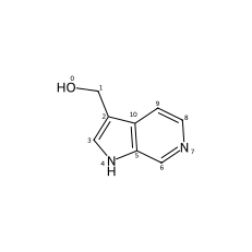 OCc1c[nH]c2cnccc12